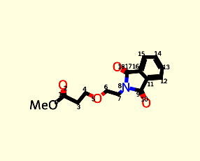 COC(=O)CCOCCN1C(=O)c2ccccc2C1=O